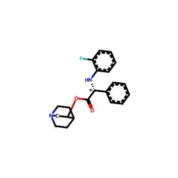 O=C(OC1CN2CCC1CC2)[C@H](Nc1ccccc1F)c1ccccc1